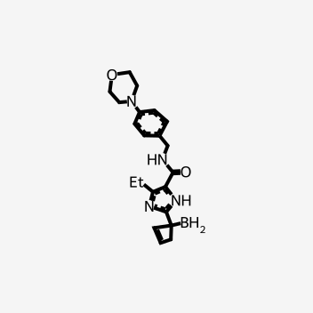 BC1(c2nc(CC)c(C(=O)NCc3ccc(N4CCOCC4)cc3)[nH]2)C=CC1